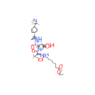 Cc1ncsc1-c1ccc([C@H](C)NC(=O)[C@@H]2C[C@@H](O)CN2C(=O)[C@@H](NC(=O)CCCCCCC(=O)OC(C)(C)C)C(C)(C)C)cc1